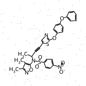 Cc1noc(N(C(C)C#Cc2cnc(Oc3ccc(Oc4ccccc4)cc3)s2)S(=O)(=O)c2ccc([N+](=O)[O-])cc2)c1C